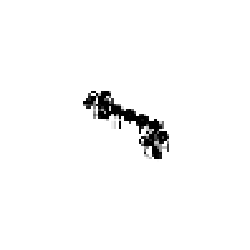 COC(=O)N[C@H](C(=O)N1CCC[C@@H]1c1ccc(-c2ccc(-c3ccc(-c4cnc([C@@H]5CCCN5C(=O)[C@@H](NC(=O)OC)[C@@H](C)OC)[nH]4)cc3)cc2)[nH]1)[C@@H](C)OC